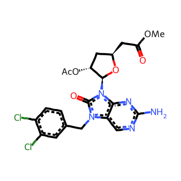 COC(=O)C[C@@H]1C[C@@H](OC(C)=O)[C@H](n2c(=O)n(Cc3ccc(Cl)c(Cl)c3)c3cnc(N)nc32)O1